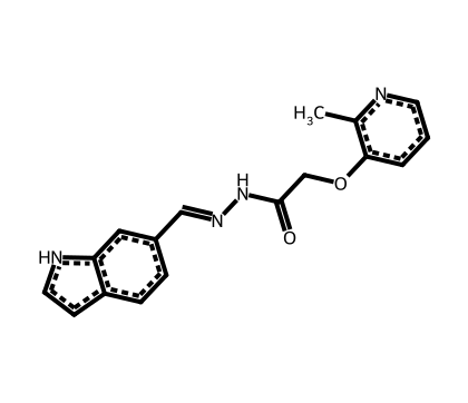 Cc1ncccc1OCC(=O)N/N=C/c1ccc2cc[nH]c2c1